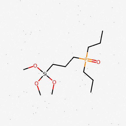 CCCP(=O)(CCC)CCC[Si](OC)(OC)OC